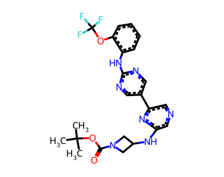 CC(C)(C)OC(=O)N1CC(Nc2cncc(-c3cnc(Nc4ccccc4OC(F)(F)F)nc3)n2)C1